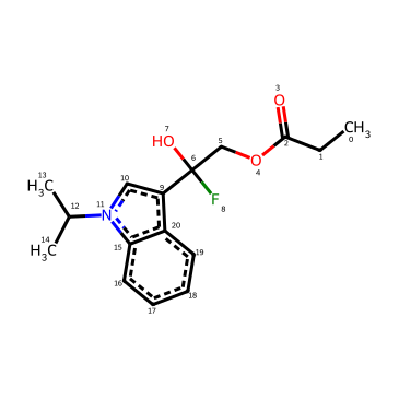 CCC(=O)OCC(O)(F)c1cn(C(C)C)c2ccccc12